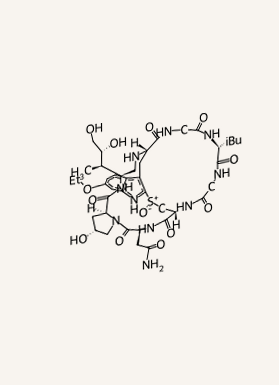 CCOc1ccc2c3c([nH]c2c1)[S+]([O-])C[C@@H]1NC(=O)CNC(=O)[C@H]([C@@H](C)CC)NC(=O)CNC(=O)[C@H](C3)NC[C@H]([C@@H](C)[C@@H](O)CO)NC(=O)[C@@H]2C[C@@H](O)CN2C(=O)[C@H](CC(N)=O)NC1=O